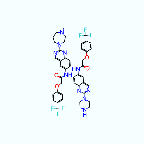 CN1CCCN(c2ncc3cc(NC(=O)COc4ccc(C(F)(F)F)cc4)ccc3n2)CC1.O=C(COc1ccc(C(F)(F)F)cc1)Nc1ccc2nc(N3CCNCC3)ncc2c1